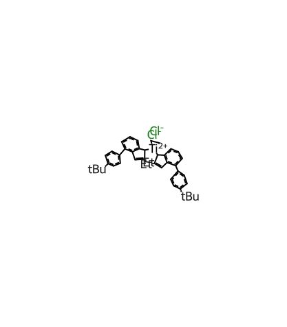 CCC1=Cc2c(-c3ccc(C(C)(C)C)cc3)cccc2[CH]1[Ti+2]1([CH]2C(CC)=Cc3c(-c4ccc(C(C)(C)C)cc4)cccc32)[CH2][CH2]1.[Cl-].[Cl-]